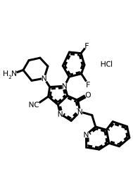 Cl.N#Cc1c(N2CCCC(N)C2)n(-c2ccc(F)cc2F)c2c(=O)n(Cc3nccc4ccccc34)cnc12